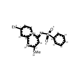 CCc1ccn2c(=NS(=O)(=O)c3ccccc3)cc(SC)nc2c1